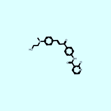 CN(CCO)c1ccc(/C=C/C(=O)c2ccc(NC(=O)c3cccnc3Cl)cc2)cc1